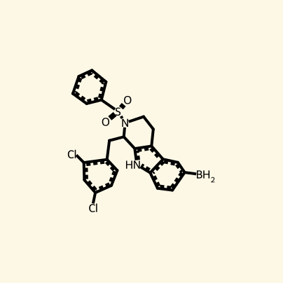 Bc1ccc2[nH]c3c(c2c1)CCN(S(=O)(=O)c1ccccc1)C3Cc1ccc(Cl)cc1Cl